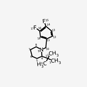 CC(C)(C)C1CCCCN1Cc1ccc(F)c(F)c1